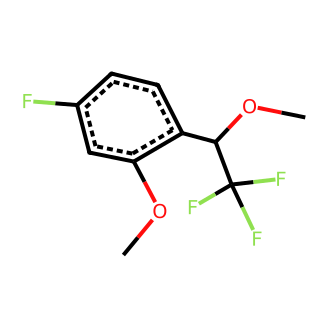 COc1cc(F)ccc1C(OC)C(F)(F)F